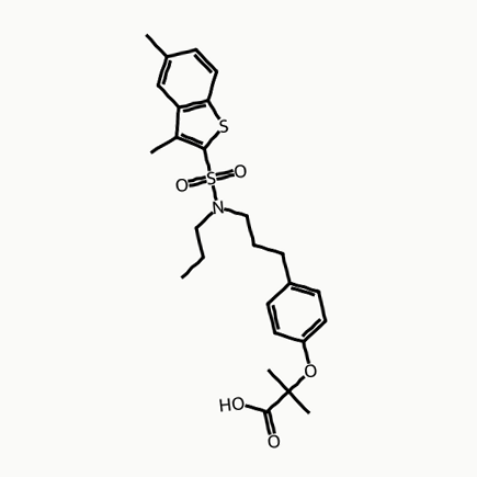 CCCN(CCCc1ccc(OC(C)(C)C(=O)O)cc1)S(=O)(=O)c1sc2ccc(C)cc2c1C